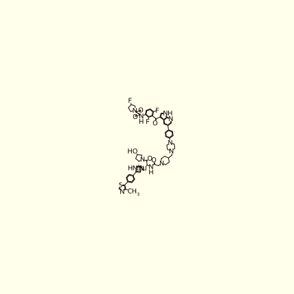 Cc1ncsc1-c1ccc(-c2cnc([C@@H]3C[C@@H](O)CN3C(=O)[C@@H](NC(=O)CN3CCC(CN4CCN(c5ccc(-c6cnc7[nH]cc(C(=O)c8c(F)ccc(NS(=O)(=O)N9CC[C@@H](F)C9)c8F)c7c6)cc5)CC4)CC3)C(C)(C)C)[nH]2)cc1